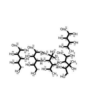 CC(O)(C(O)CO)C(O)C(O)C=O.CC(O)C(O)C(O)C(C)(O)C=O.CC(O)C(O)C(O)C(O)C=O.O=CC(O)C(O)C(O)C(O)CO.O=CC(O)C(O)C(O)C(O)CO